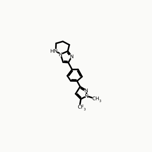 Cn1nc(-c2ccc(-c3cn4c(n3)CCCN4)cc2)cc1C(F)(F)F